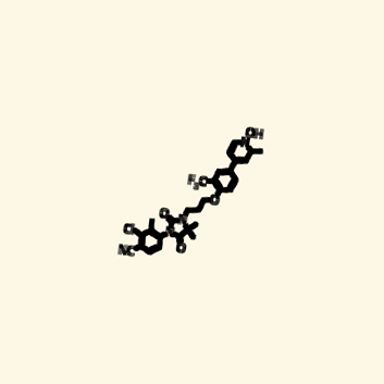 Cc1c(N2C(=O)N(CCCOc3ccc(C4=CC(C)N(O)C=C4)cc3C(F)(F)F)C(C)(C)C2=O)ccc(C#N)c1Cl